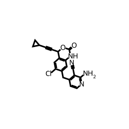 N#Cc1c(Cc2cc3c(cc2Cl)C(C#CC2CC2)OC(=O)N3)ccnc1N